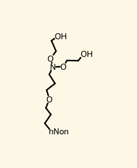 CCCCCCCCCCCCOCCCN(OCCO)OCCO